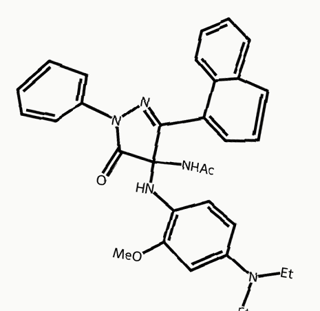 CCN(CC)c1ccc(NC2(NC(C)=O)C(=O)N(c3ccccc3)N=C2c2cccc3ccccc23)c(OC)c1